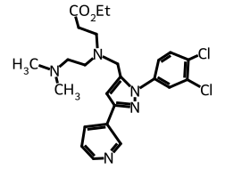 CCOC(=O)CCN(CCN(C)C)Cc1cc(-c2cccnc2)nn1-c1ccc(Cl)c(Cl)c1